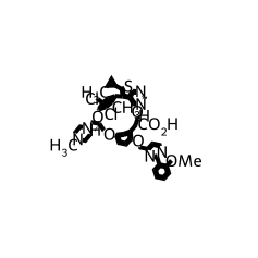 COc1ccccc1-c1nccc(COc2ccc3cc2C[C@H](C(=O)O)Oc2ncnc4sc(C5CC5)c(c24)-c2c(C)c(Cl)c(c(Cl)c2C)O[C@H](CN2CCN(C)CC2)CO3)n1